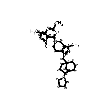 Cc1nc(N2CCc3c(c(C)nn3CC34CCCC(C3)C(N3CCCC3)CC4)C2)c2c(n1)c(C)nn2C